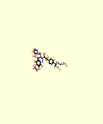 C=C/N=C(\C)c1ccc(C(F)(F)C(=O)N[C@H](CN2CCCC2)[C@H](O)c2cc(F)c3c(c2)OCCO3)cc1